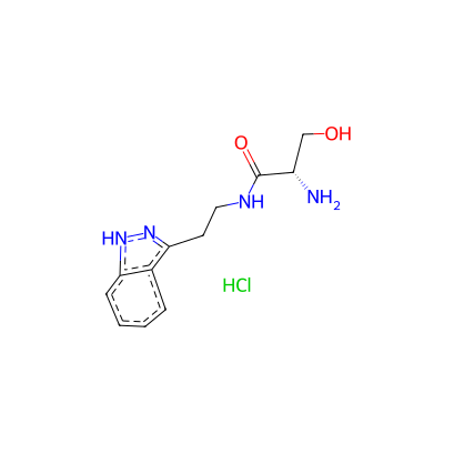 Cl.N[C@@H](CO)C(=O)NCCc1n[nH]c2ccccc12